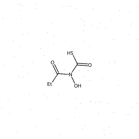 CCC(=O)N(O)C(=O)S